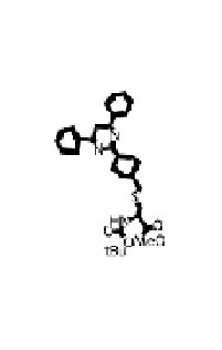 COC(=O)C(CSCc1ccc(-c2nc(-c3ccccc3)cc(-c3ccccc3)n2)cc1)NC(=O)OC(C)(C)C